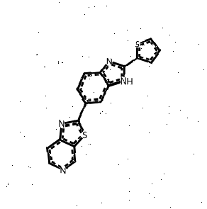 c1csc(-c2nc3ccc(-c4nc5ccncc5s4)cc3[nH]2)c1